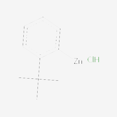 CC(C)(C)c1cccc[c]1[Zn].Cl